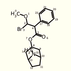 COC(Br)C(C(=O)OC1CC2CCC(C1)N2C)c1ccccc1